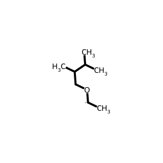 C[CH]OCC(C)C(C)C